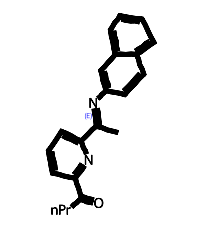 CCCC(=O)c1cccc(/C(C)=N/c2ccc3ccccc3c2)n1